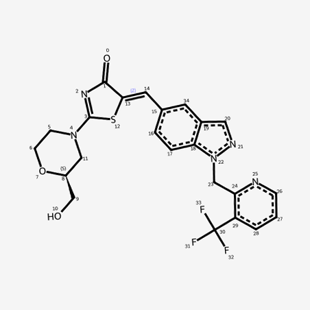 O=C1N=C(N2CCO[C@H](CO)C2)S/C1=C\c1ccc2c(cnn2Cc2ncccc2C(F)(F)F)c1